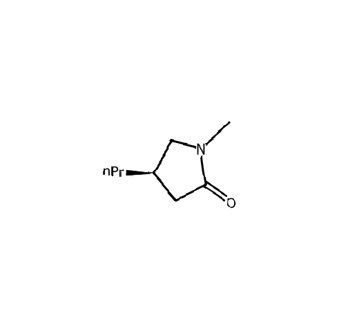 CCC[C@@H]1CC(=O)N(C)C1